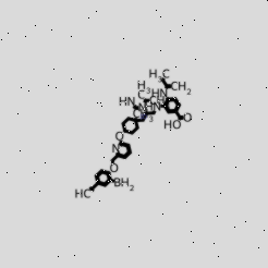 Bc1cc(C#C)ccc1OCc1cccc(OC2CCC(C)(/C=C(/CNc3cc(C(=O)O)ccc3NC(=C)CC)N(C=N)C(C)C)CC2)n1